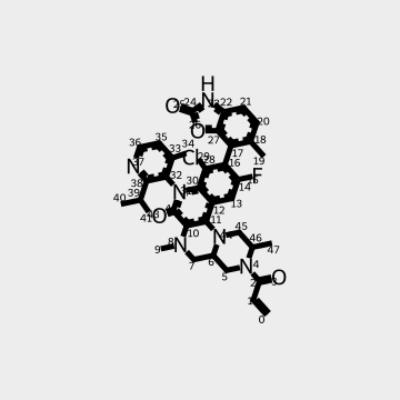 C=CC(=O)N1CC2CN(C)c3c(c4cc(F)c(-c5c(C)ccc6[nH]c(=O)oc56)c(Cl)c4n(-c4c(C)ccnc4C(C)C)c3=O)N2CC1C